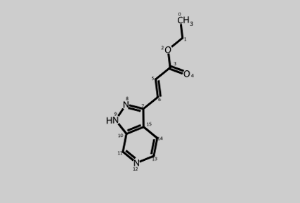 CCOC(=O)/C=C/c1n[nH]c2cnccc12